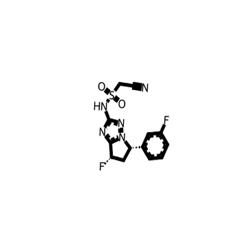 N#CCS(=O)(=O)Nc1nc2n(n1)[C@H](c1cccc(F)c1)C[C@@H]2F